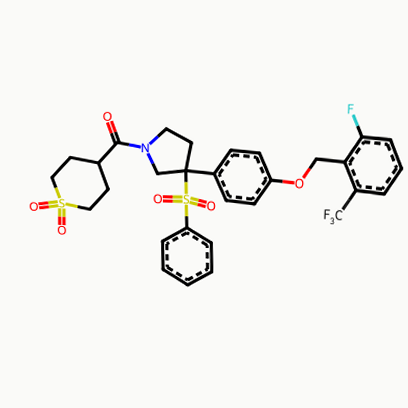 O=C(C1CCS(=O)(=O)CC1)N1CCC(c2ccc(OCc3c(F)cccc3C(F)(F)F)cc2)(S(=O)(=O)c2ccccc2)C1